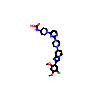 COc1cc(OC)c(-c2cn3ccc(N4CCN(c5nccc(N6CCC(NC(=O)O)CC6)n5)CC4)cc3n2)cc1Cl